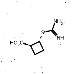 N=C(N)S[C@@H]1CC[C@H]1C(=O)O